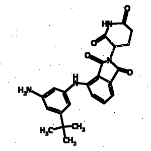 CC(C)(C)c1cc(N)cc(Nc2cccc3c2C(=O)N(C2CCC(=O)NC2=O)C3=O)c1